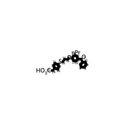 CCCc1cc(C(=O)c2ccccc2)ccc1OCCCSc1ccc(CC(=O)O)cc1